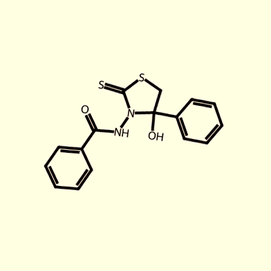 O=C(NN1C(=S)SCC1(O)c1ccccc1)c1ccccc1